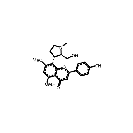 COc1cc(OC)c2c(=O)cc(-c3ccc(C#N)cc3)oc2c1[C@@H]1CCN(C)[C@H]1CO